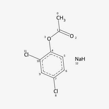 CC(=O)Oc1ccc(Cl)cc1Cl.[NaH]